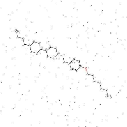 CCCCCCCOc1ccc(CC[C@H]2CC[C@H]([C@H]3CC[C@H](CCCC)CC3)CC2)cc1